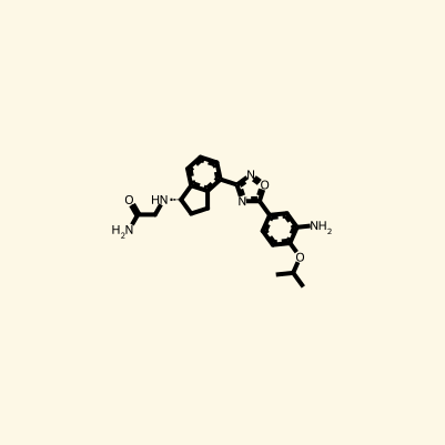 CC(C)Oc1ccc(-c2nc(-c3cccc4c3CC[C@@H]4NCC(N)=O)no2)cc1N